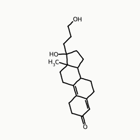 CC12CCC3=C4CCC(=O)C=C4CCC3C1CCC2(O)CCCO